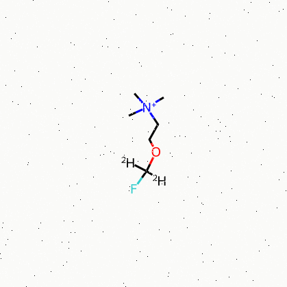 [2H]C([2H])(F)OCC[N+](C)(C)C